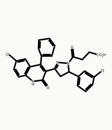 O=C(O)CCC(=O)N1N=C(c2c(-c3ccccc3)c3cc(Cl)ccc3[nH]c2=O)CC1c1cccc(Cl)c1